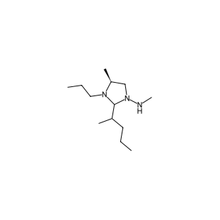 CCCC(C)C1N(NC)C[C@H](C)N1CCC